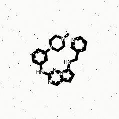 CN1CCN(c2cccc(Nc3ncc4ccc(NCc5cccnc5)n4n3)c2)CC1